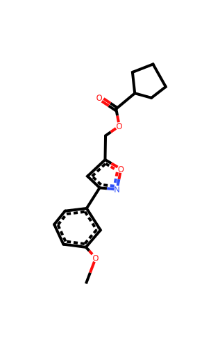 COc1cccc(-c2cc(COC(=O)C3CCCC3)on2)c1